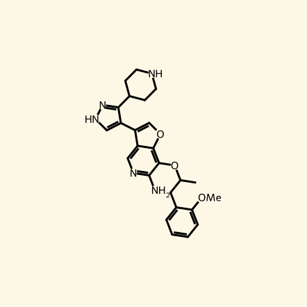 COc1ccccc1CC(C)Oc1c(N)ncc2c(-c3c[nH]nc3C3CCNCC3)coc12